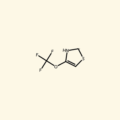 FC(F)(F)OC1=CS[C]N1